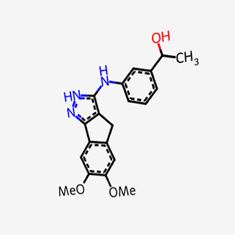 COc1cc2c(cc1OC)-c1n[nH]c(Nc3cccc(C(C)O)c3)c1C2